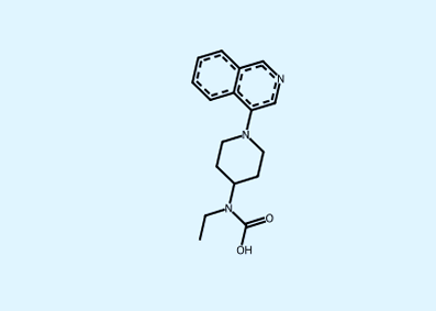 CCN(C(=O)O)C1CCN(c2cncc3ccccc23)CC1